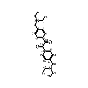 CCN(CC)Cc1ccc(C(=O)C(=O)c2ccc(CN(CC)CC)cc2)cc1